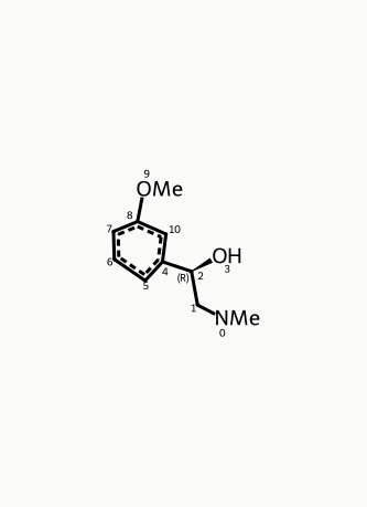 CNC[C@H](O)c1cccc(OC)c1